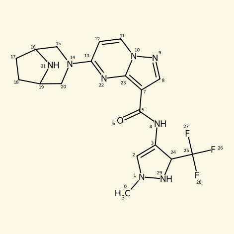 CN1C=C(NC(=O)c2cnn3ccc(N4CC5CCC(C4)N5)nc23)C(C(F)(F)F)N1